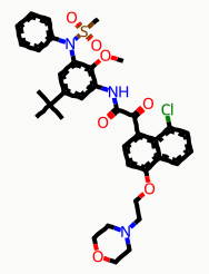 COc1c(NC(=O)C(=O)c2ccc(OCCN3CCOCC3)c3cccc(Cl)c23)cc(C(C)(C)C)cc1N(c1ccccc1)S(C)(=O)=O